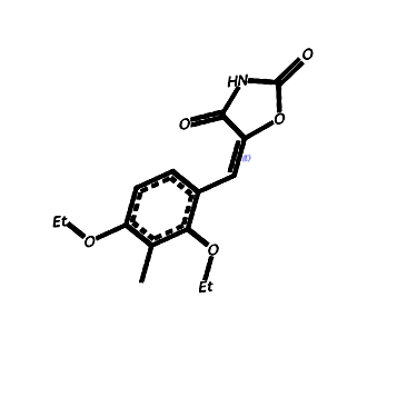 CCOc1ccc(/C=C2/OC(=O)NC2=O)c(OCC)c1C